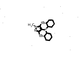 Cn1nc(C(C)(C)C)c(P(C2CCCCC2)C2CCCCC2)c1C(C)(C)C